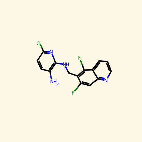 Nc1ccc(Cl)nc1NCc1c(F)cc2ncccc2c1F